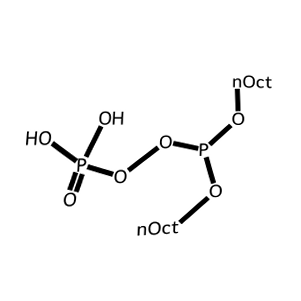 CCCCCCCCOP(OCCCCCCCC)OOP(=O)(O)O